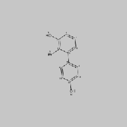 CC(C)c1c(O)cccc1-c1ccc(O)cc1